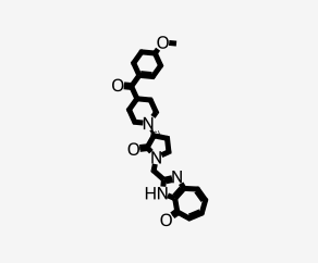 COC1CC=C(C(=O)C2CCN([C@H]3CCN(Cc4nc5ccccc(=O)c5[nH]4)C3=O)CC2)CC1